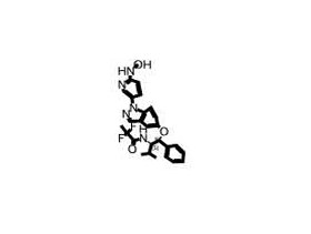 CC(C)[C@H](NC(=O)C(C)(F)F)[C@H](Oc1ccc2c(cnn2-c2ccc(NO)nc2)c1)c1ccccc1